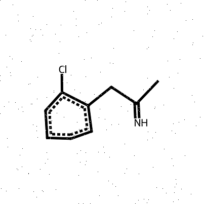 CC(=N)Cc1ccccc1Cl